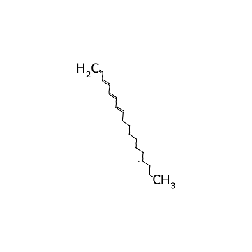 C=CC=CC=CC=CCCCCCC[CH]CCC